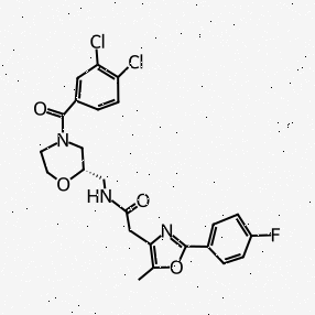 Cc1oc(-c2ccc(F)cc2)nc1CC(=O)NC[C@H]1CN(C(=O)c2ccc(Cl)c(Cl)c2)CCO1